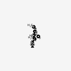 CN1CCC(Oc2ccc(C3=CNC(N)(c4ccnc(-c5cnn(S(=O)(=O)C6CC6)c5)n4)C=C3NC3CCC(F)CC3)nc2)CC1